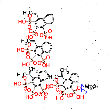 C=C(C)c1c(S(=O)(=O)O)c(S(=O)(=O)O)c(S(=O)(=O)O)c2ccccc12.C=C(C)c1c(S(=O)(=O)O)c(S(=O)(=O)O)c(S(=O)(=O)O)c2ccccc12.C=Cc1c(S(=O)(=O)O)c(S(=O)(=O)O)c(S(=O)(=O)O)c2ccccc12.C=Cc1c(S(=O)(=O)O)c(S(=O)(=O)O)c(S(=O)(=O)O)c2ccccc12.N.[Ca+2].[Mg+2]